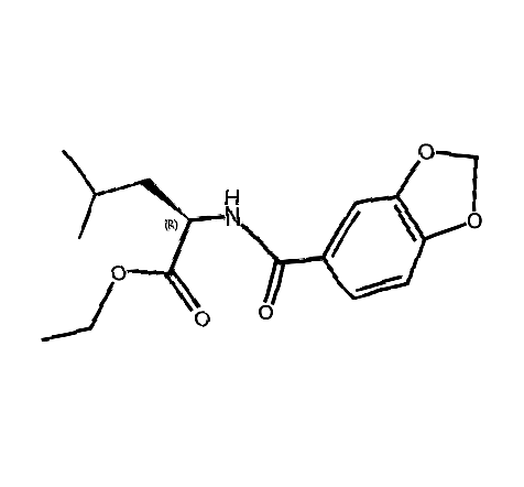 CCOC(=O)[C@@H](CC(C)C)NC(=O)c1ccc2c(c1)OCO2